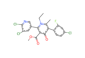 CCn1c(C)c(-c2ccc(Cl)cc2F)c(=O)c(C(=O)OC)c1-c1cnc(Cl)c(Cl)c1